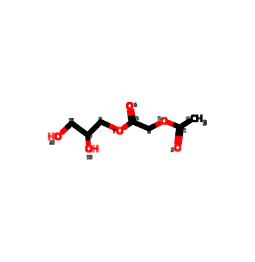 CC(=O)OCC(=O)OCC(O)CO